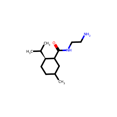 CC1CC[C@@H](C(C)C)C(C(=O)NCCN)C1